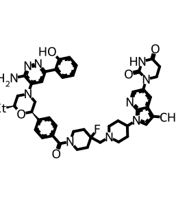 CC[C@H]1CN(c2cc(-c3ccccc3O)nnc2N)C[C@@H](c2ccc(C(=O)N3CCC(F)(CN4CCC(n5cc(C)c6cc(N7CCC(=O)NC7=O)cnc65)CC4)CC3)cc2)O1